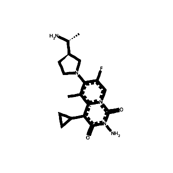 Cc1c(N2CC[C@@H]([C@@H](C)N)C2)c(F)cn2c(=O)n(N)c(=O)c(C3CC3)c12